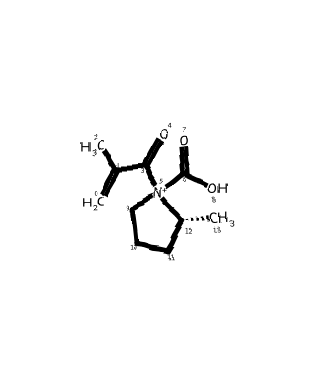 C=C(C)C(=O)[N+]1(C(=O)O)CCC[C@H]1C